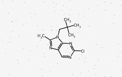 Cc1nc2cnc(Cl)nc2n1CC(C)(C)C